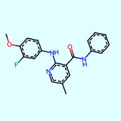 COc1ccc(Nc2ncc(C)cc2C(=O)Nc2ccccc2)cc1F